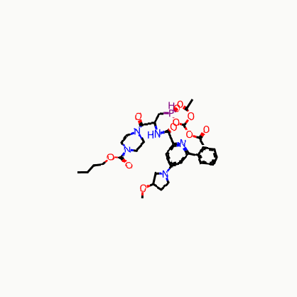 CCCCOC(=O)N1CCN(C(=O)C(C[PH](=O)OC(OC(C)=O)OC(C)=O)NC(=O)c2cc(N3CCC(OC)C3)cc(-c3ccccc3)n2)CC1